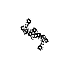 O=C1Cc2cc(-c3cnc([C@@H]4CCCN4C(=O)OCc4ccccc4)[nH]3)ccc2C(c2ccccc2)N1c1ccc(-c2cnc([C@@H]3CCCN3C(=O)OCc3ccccc3)[nH]2)cc1